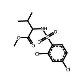 COC(=O)C(NS(=O)(=O)c1ccc(Cl)cc1Cl)C(C)C